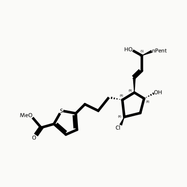 CCCCC[C@H](O)C=C[C@@H]1[C@@H](CCCc2ccc(C(=O)OC)s2)[C@H](Cl)C[C@H]1O